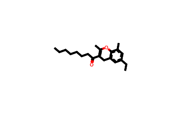 CCCCCCCC(=O)C1=C(C)Oc2c(C)cc(CC)cc2C1